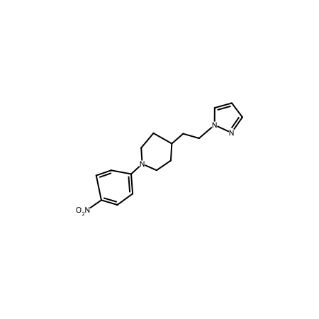 O=[N+]([O-])c1ccc(N2CCC(CCn3cccn3)CC2)cc1